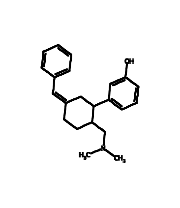 CN(C)CC1CCC(=Cc2ccccc2)CC1c1cccc(O)c1